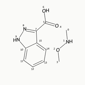 CNOC.O=C(O)c1n[nH]c2ccccc12